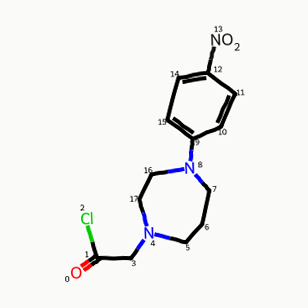 O=C(Cl)CN1CCCN(c2ccc([N+](=O)[O-])cc2)CC1